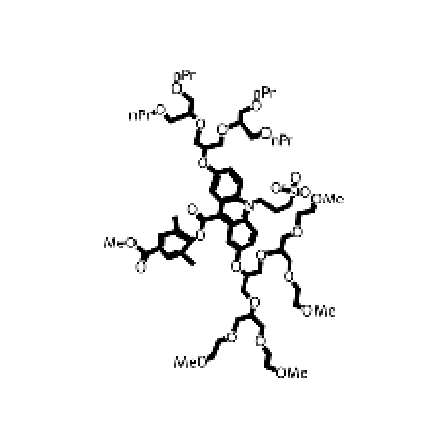 CCCOCC(COCCC)OCC(COC(COCCC)COCCC)Oc1ccc2c(c1)c(C(=O)Oc1c(C)cc(C(=O)OC)cc1C)c1cc(OC(COC(COCCOC)COCCOC)COC(COCCOC)COCCOC)ccc1[n+]2CCCS(=O)(=O)[O-]